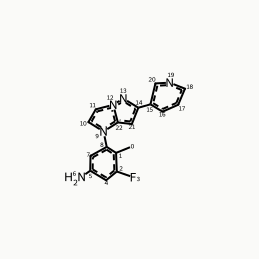 Cc1c(F)cc(N)cc1-n1ccn2nc(-c3cccnc3)cc12